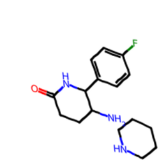 C1CCNCC1.NC1CCC(=O)NC1c1ccc(F)cc1